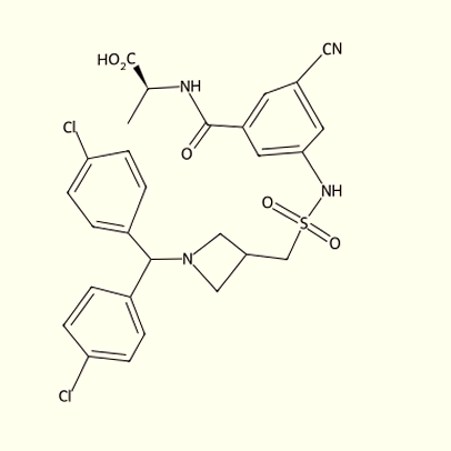 C[C@H](NC(=O)c1cc(C#N)cc(NS(=O)(=O)CC2CN(C(c3ccc(Cl)cc3)c3ccc(Cl)cc3)C2)c1)C(=O)O